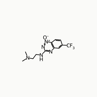 CN(C)CCNc1nc2cc(C(F)(F)F)ccc2[n+]([O-])n1